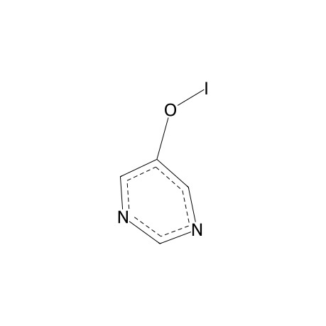 IOc1cncnc1